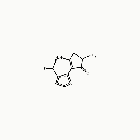 CC1CC(N)=C(c2sccc2C(F)F)C1=O